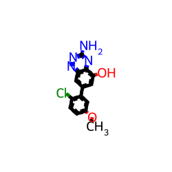 COc1ccc(Cl)c(-c2cc(O)c3nc(N)nnc3c2)c1